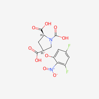 O=C(O)[C@@H]1C[C@](Oc2cc(F)cc(F)c2[N+](=O)[O-])(C(=O)O)CN1C(=O)O